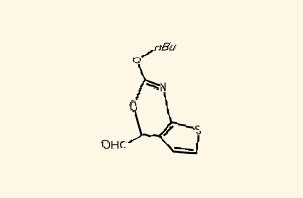 CCCCOC1=Nc2sccc2C(C=O)O1